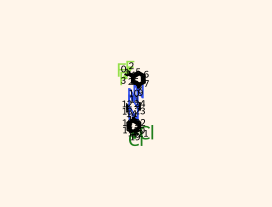 FC(F)(F)c1cccc(N=NN2CCN(c3ccc(Cl)c(Cl)c3)CC2)c1